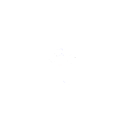 NCCCOc1cccc2c(C3CC3)nn(-c3ccccc3)c12